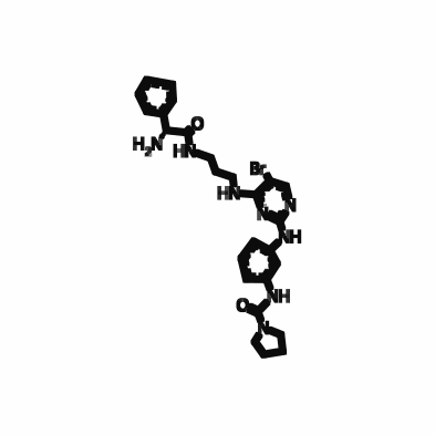 N[C@@H](C(=O)NCCCNc1nc(Nc2cccc(NC(=O)N3CCCC3)c2)ncc1Br)c1ccccc1